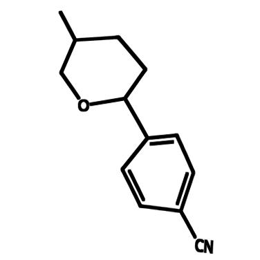 CC1CCC(c2ccc(C#N)cc2)OC1